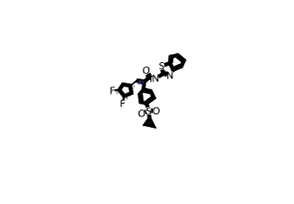 O=C(Nc1nc2ccccc2s1)/C(=C/[C@H]1C[C@@H](F)[C@@H](F)C1)c1ccc(S(=O)(=O)C2CC2)cc1